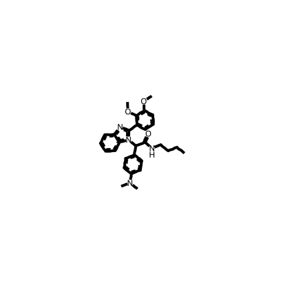 CCCCNC(=O)C(c1ccc(N(C)C)cc1)n1c(-c2cccc(OC)c2OC)nc2ccccc21